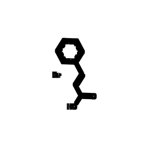 O=C(O)C=Cc1ccccc1.[Eu]